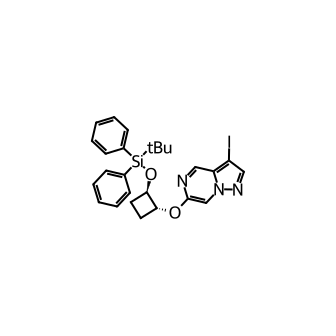 CC(C)(C)[Si](O[C@@H]1CC[C@H]1Oc1cn2ncc(I)c2cn1)(c1ccccc1)c1ccccc1